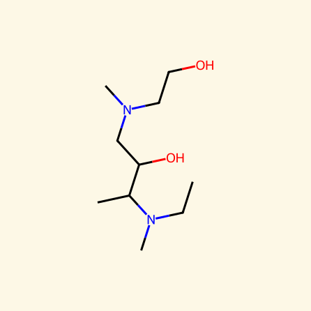 CCN(C)C(C)C(O)CN(C)CCO